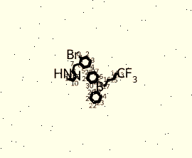 Brc1ccccc1Cc1ncc[nH]1.FC(F)(F)C=CCCB(c1ccccc1)c1ccccc1